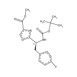 COC(=O)c1coc([C@H](Cc2ccc(F)cc2)NC(=O)OC(C)(C)C)n1